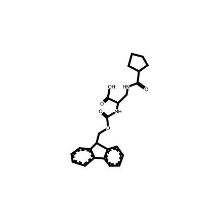 O=C(NC(CNC(=O)C1CCCC1)C(=O)O)OCC1c2ccccc2-c2ccccc21